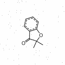 CC1(C)Oc2ccc[c]c2C1=O